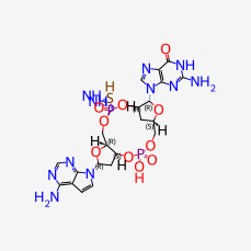 N.N.Nc1nc2c(ncn2[C@@H]2O[C@@H]3COP(=O)(O)O[C@H]4C[C@H](n5ccc6c(N)ncnc65)O[C@@H]4COP(=O)(S)O[C@@H]2C3)c(=O)[nH]1